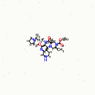 C[C@@H]1CN2c3c4c(nc(OC[C@@H]5CCCN5C)c3N(C)C(=O)[C@H]2CN1C(=O)OC(C)(C)C)CNCC4